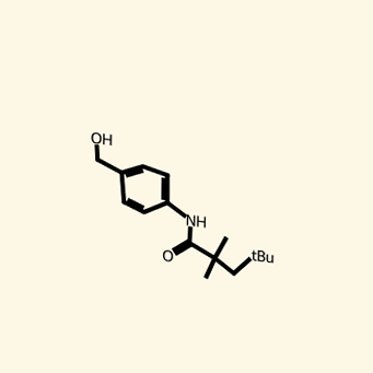 CC(C)(C)CC(C)(C)C(=O)Nc1ccc(CO)cc1